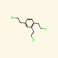 ClCCc1ccc(CCCl)c(CCCl)c1